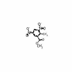 COC(=O)c1cc([N+](=O)[O-])cc([N+](=O)[O-])c1C